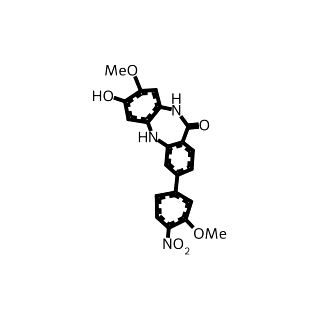 COc1cc2c(cc1O)Nc1cc(-c3ccc([N+](=O)[O-])c(OC)c3)ccc1C(=O)N2